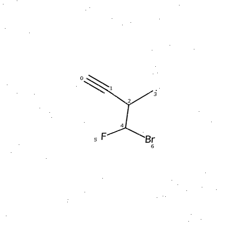 C#CC([CH2])C(F)Br